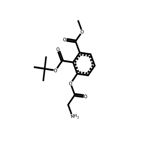 COC(=O)c1cccc(OC(=O)CN)c1C(=O)OC(C)(C)C